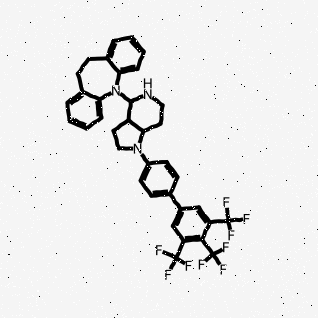 FC(F)(F)c1cc(-c2ccc(N3CCC4C3CCNC4N3c4ccccc4CCc4ccccc43)cc2)cc(C(F)(F)F)c1C(F)(F)F